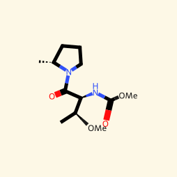 COC(=O)N[C@H](C(=O)N1CCC[C@H]1C)[C@H](C)OC